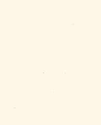 CC(=O)COCc1ccc(Oc2ccc(C)cc2)cc1